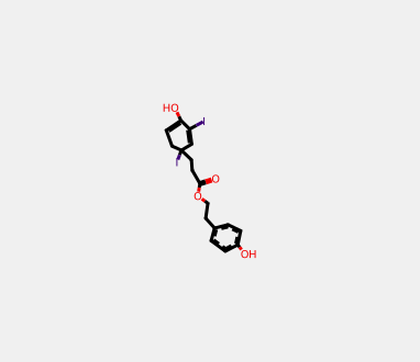 O=C(CCC1(I)C=C(I)C(O)=CC1)OCCc1ccc(O)cc1